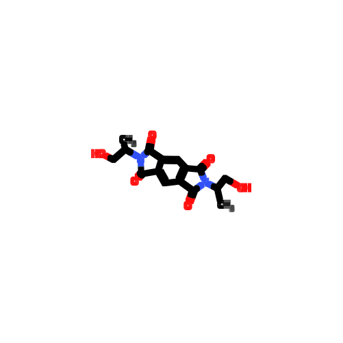 CC(CO)n1c(=O)c2cc3c(=O)n(C(C)CO)c(=O)c3cc2c1=O